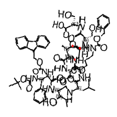 CC[C@H](C)[C@H](NC(=O)[C@@H](CCCNC(=O)OCc1ccccc1)NC(=O)[C@H](CC(C)C)NC(=O)[C@@H](NC(=O)[C@@H](NC(=O)OCC1c2ccccc2-c2ccccc21)[C@H](NC(=O)OC(C)(C)C)c1ccccc1)[C@H](O)C(C)C)C(=O)N[C@H](C(=O)NCC(=O)N[C@@H](CO)C(=O)N[C@@H](CO)C(=O)O)[C@H](C)O